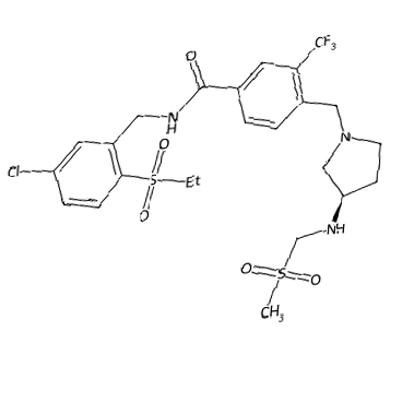 CCS(=O)(=O)c1ccc(Cl)cc1CNC(=O)c1ccc(CN2CC[C@@H](NCS(C)(=O)=O)C2)c(C(F)(F)F)c1